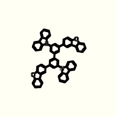 c1ccc2c(c1)B(c1cc(-c3cc(-c4ccc5oc6ccccc6c5c4)cc(-n4c5ccccc5c5ccccc54)c3)cc(-c3ccc4oc5ccccc5c4c3)c1)c1ccccc1-2